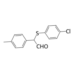 Cc1ccc(C(C=O)Sc2ccc(Cl)cc2)cc1